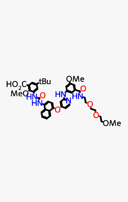 COCCOCCOCCNC(=O)c1cc(Nc2cc(Oc3ccc(NC(=O)Nc4cc(C(C)(C)C)cc(C(=O)O)c4OC)c4ccccc34)ccn2)cc(OC)c1